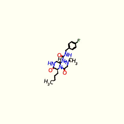 CCCC[C@H]1C(=O)NC[C@H]2N1C(=O)CN(C)N2C(=O)NCc1ccc(F)cc1